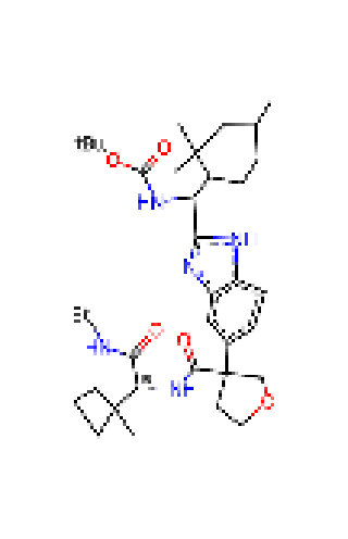 CCNC(=O)[C@H](NC(=O)C1(c2ccc3[nH]c(C(NC(=O)OC(C)(C)C)C4CCC(C)CC4(C)C)nc3c2)CCOC1)C1(C)CCC1